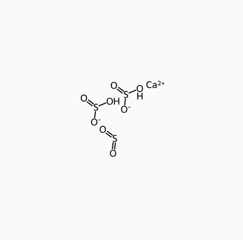 O=S([O-])O.O=S([O-])O.O=S=O.[Ca+2]